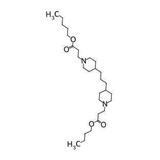 CCCCCOC(=O)CCN1CCC(CCCC2CCN(CCC(=O)OCCCC)CC2)CC1